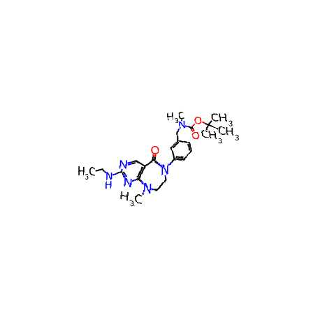 CCNc1ncc2c(n1)N(C)CCN(c1cccc(CN(C)C(=O)OC(C)(C)C)c1)C2=O